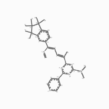 C=N/C(=C\C=C(/C)c1nc(-c2ccncc2)nc(N(C)C)n1)c1ccc2c(c1)C(C)(C)C(C)(C)C2(C)C